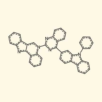 c1ccc(-n2c3ccccc3c3ccc(-c4nc(-n5cc6c7ccccc7nc-6c6ccccc65)nc5ccccc45)cc32)cc1